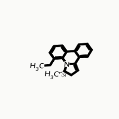 CCc1cccc2c1N1C(=CC[C@@H]1C)c1ccccc1-2